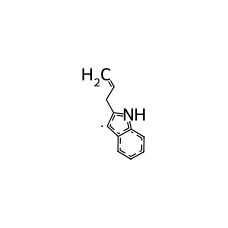 C=CCc1[c]c2ccccc2[nH]1